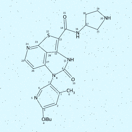 Cc1cc(OCC(C)C)ncc1N1C(=O)Nc2c(C(=O)NC3CCNC3)sc3nccc1c23